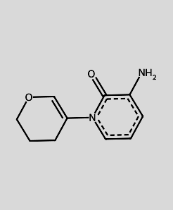 Nc1cccn(C2=COCCC2)c1=O